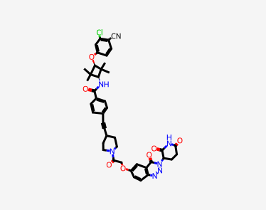 CC1(C)[C@H](NC(=O)c2ccc(C#CC3CCN(C(=O)COc4ccc5nnn(C6CCC(=O)NC6=O)c(=O)c5c4)CC3)cc2)C(C)(C)[C@H]1Oc1ccc(C#N)c(Cl)c1